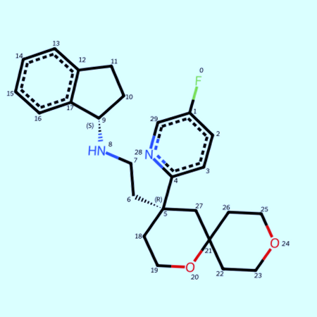 Fc1ccc([C@]2(CCN[C@H]3CCc4ccccc43)CCOC3(CCOCC3)C2)nc1